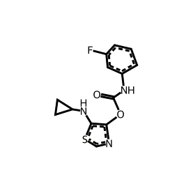 O=C(Nc1cccc(F)c1)Oc1ncsc1NC1CC1